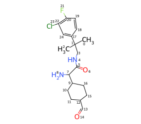 CC(C)(CNC(=O)C(N)C1CCC(C=O)CC1)c1ccc(F)c(Cl)c1